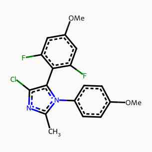 COc1ccc(-n2c(C)nc(Cl)c2-c2c(F)cc(OC)cc2F)cc1